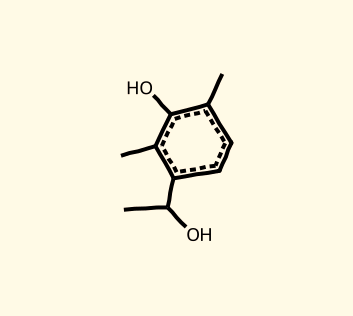 Cc1ccc(C(C)O)c(C)c1O